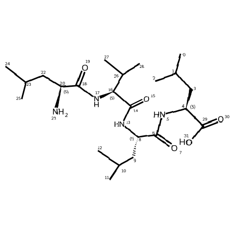 CC(C)C[C@H](NC(=O)[C@H](CC(C)C)NC(=O)[C@@H](NC(=O)[C@@H](N)CC(C)C)C(C)C)C(=O)O